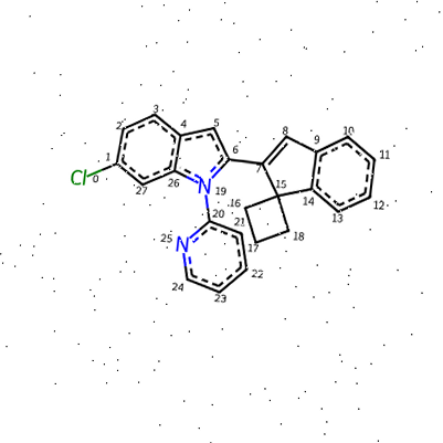 Clc1ccc2cc(C3=Cc4ccccc4C34CCC4)n(-c3ccccn3)c2c1